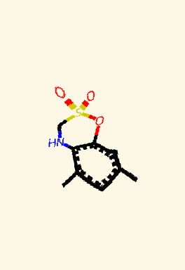 Cc1cc(C)c2c(c1)OS(=O)(=O)CN2